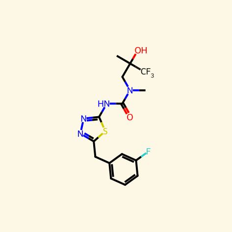 CN(CC(C)(O)C(F)(F)F)C(=O)Nc1nnc(Cc2cccc(F)c2)s1